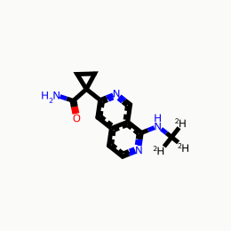 [2H]C([2H])([2H])Nc1nccc2cc(C3(C(N)=O)CC3)ncc12